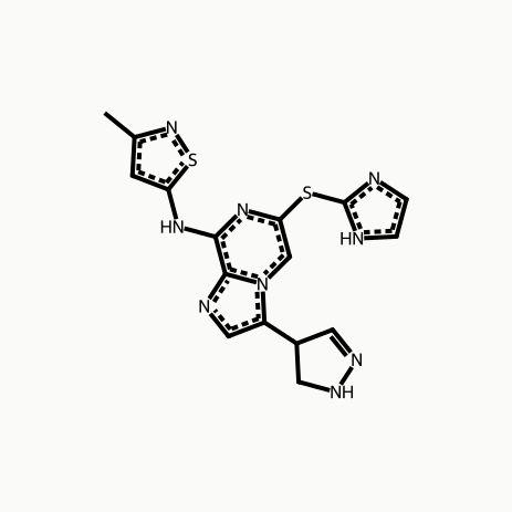 Cc1cc(Nc2nc(Sc3ncc[nH]3)cn3c(C4C=NNC4)cnc23)sn1